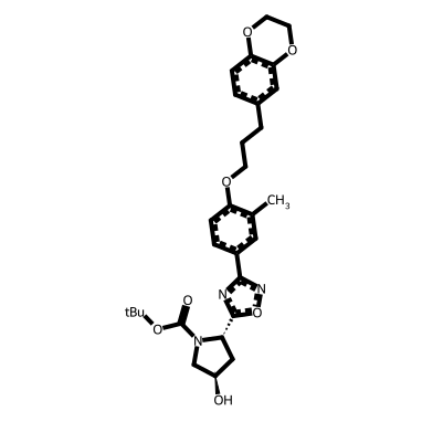 Cc1cc(-c2noc([C@@H]3C[C@@H](O)CN3C(=O)OC(C)(C)C)n2)ccc1OCCCc1ccc2c(c1)OCCO2